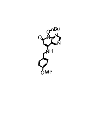 CCCCOn1c(=O)cc(NCc2ccc(OC)cc2)c2cncnc21